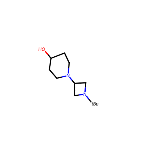 CC(C)(C)N1CC(N2CCC(O)CC2)C1